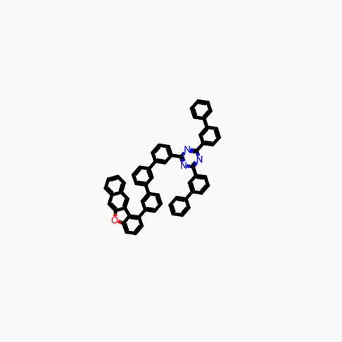 c1ccc(-c2cccc(-c3nc(-c4cccc(-c5ccccc5)c4)nc(-c4cccc(-c5cccc(-c6cccc(-c7cccc8oc9cc%10ccccc%10cc9c78)c6)c5)c4)n3)c2)cc1